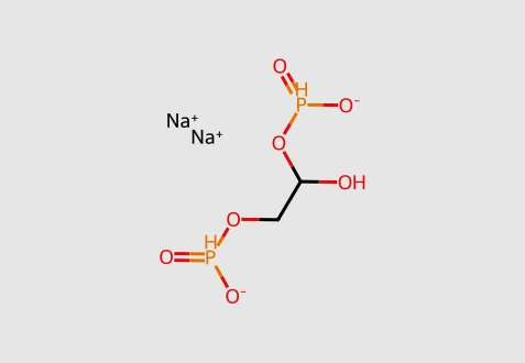 O=[PH]([O-])OCC(O)O[PH](=O)[O-].[Na+].[Na+]